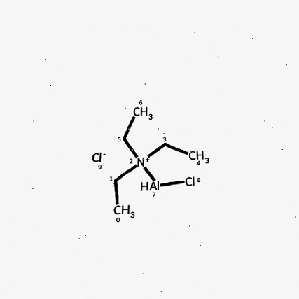 CC[N+](CC)(CC)[AlH][Cl].[Cl-]